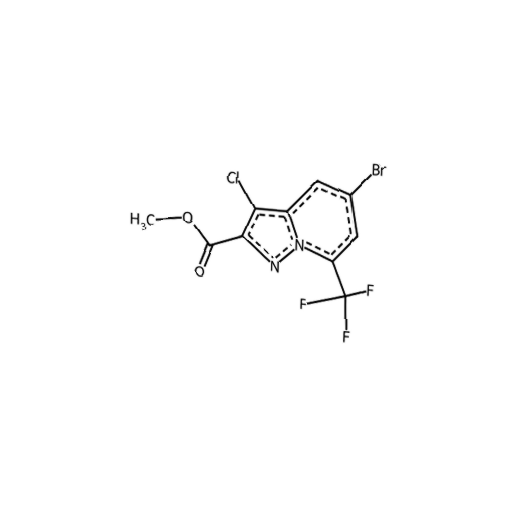 COC(=O)c1nn2c(C(F)(F)F)cc(Br)cc2c1Cl